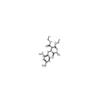 CCOC(=O)C(C(=O)OCC)N(Cc1ccc(OC)cc1OC)C(=O)CCl